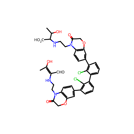 C/C(O)=C(/C=O)NCCN1C(=O)COc2cc(-c3cccc(-c4cccc(-c5ccc6c(c5)OCC(=O)N6CCNC(C(=O)O)C(C)O)c4Cl)c3Cl)ccc21